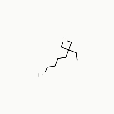 CCC1(CCCCO)COC1